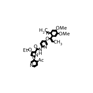 C=NC1C=C(OC)C(OC)=CC1/C(=C\C)Oc1ccc(NC(=O)c2nn(-c3cnccc3C(C)=O)cc2OCC)nc1